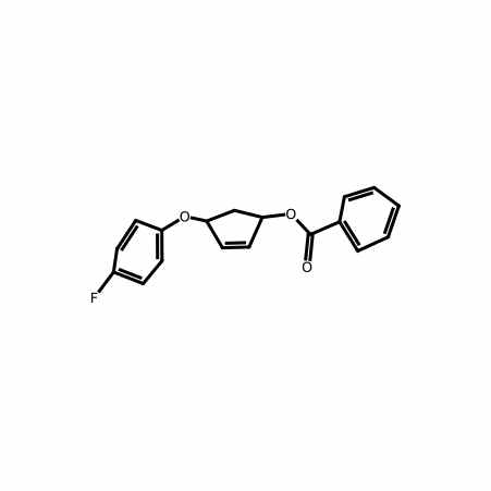 O=C(OC1C=CC(Oc2ccc(F)cc2)C1)c1ccccc1